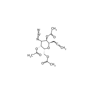 C=C=C[C@H]1O[C@H](COC(C)=O)[C@H](OC(C)=O)C(N=[N+]=[N-])[C@H]1OC(C)=O